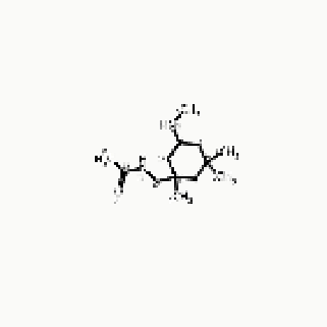 CNC1CC(C)(C)CC(C)(CNC(C)=O)C1